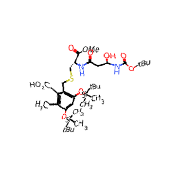 COC(=O)[C@@H](CSCc1c(O[Si](C)(C)C(C)(C)C)cc(O[Si](C)(C)C(C)(C)C)c(C)c1C(=O)O)NC(=O)C[C@@H](O)NC(=O)OC(C)(C)C